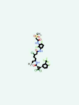 C=C/C(=C\C=C(\Cl)CC(=O)Nc1ccc(F)c(NC(=O)CS(C)(=O)=O)c1F)NC(=O)[C@H]1[C@H](c2ccc(F)c(C(F)(F)F)c2)C1(Cl)Cl